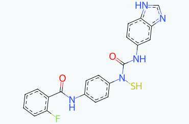 O=C(Nc1ccc(N(S)C(=O)Nc2ccc3[nH]cnc3c2)cc1)c1ccccc1F